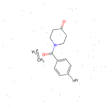 C=C.CCCc1ccc(C(=O)N2CCC(=O)CC2)cc1